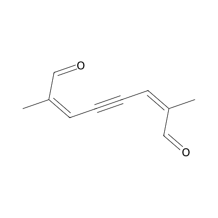 CC(C=O)=CC#CC=C(C)C=O